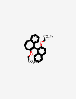 CCOC(=O)COC1=C(c2c(OCC(=O)OCC)ccc3ccccc23)c2ccccc2C=CC1